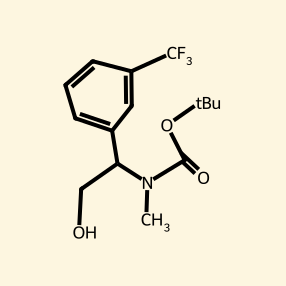 CN(C(=O)OC(C)(C)C)C(CO)c1cccc(C(F)(F)F)c1